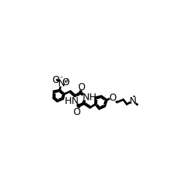 CN(C)CCCOc1ccc(/C=c2\[nH]c(=O)/c(=C/c3ccccc3[N+](=O)[O-])[nH]c2=O)cc1